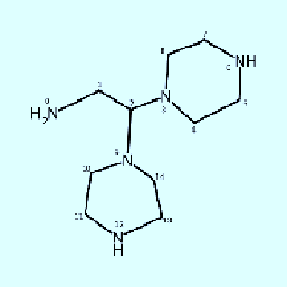 NCC(N1CCNCC1)N1CCNCC1